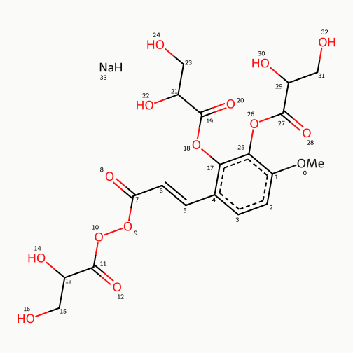 COc1ccc(C=CC(=O)OOC(=O)C(O)CO)c(OC(=O)C(O)CO)c1OC(=O)C(O)CO.[NaH]